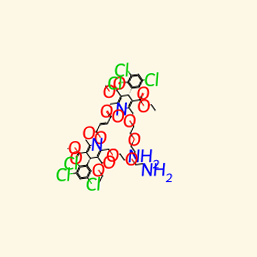 CCOC(=O)C1=C(COCCOCCN)N(OC(=O)/C=C/C(=O)ON2C(C)=C(C(=O)OC)[C@H](c3cc(Cl)cc(Cl)c3Cl)C(C(=O)OCC)=C2COCCOCCN)C(C)=C(C(=O)OC)[C@@H]1c1cc(Cl)cc(Cl)c1Cl